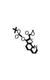 COC(=O)c1sc2c(ccc3cccnc32)c1OCC(=O)OC(C)(C)C